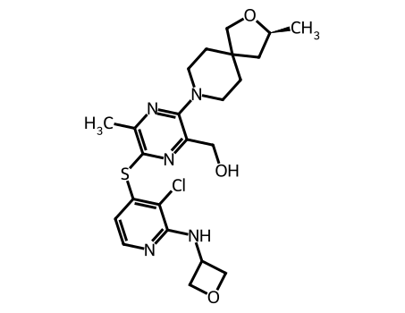 Cc1nc(N2CCC3(CC2)CO[C@@H](C)C3)c(CO)nc1Sc1ccnc(NC2COC2)c1Cl